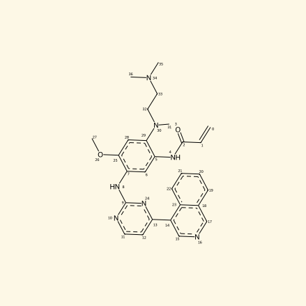 C=CC(=O)Nc1cc(Nc2nccc(-c3cncc4ccccc34)n2)c(OC)cc1N(C)CCN(C)C